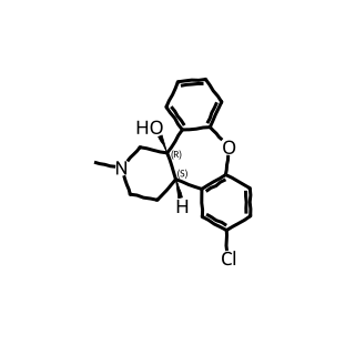 CN1CC[C@H]2c3cc(Cl)ccc3Oc3ccccc3[C@@]2(O)C1